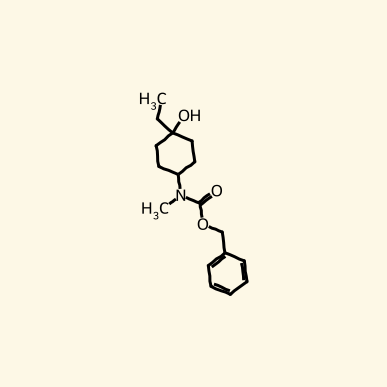 CCC1(O)CCC(N(C)C(=O)OCc2ccccc2)CC1